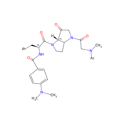 CC(=O)N(C)CC(=O)N1CC(=O)[C@@H]2C1CCN2C(=O)[C@H](CC(C)C)NC(=O)c1ccc(N(C)C)cc1